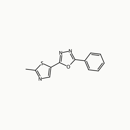 Cc1ncc(-c2nnc(-c3ccccc3)o2)s1